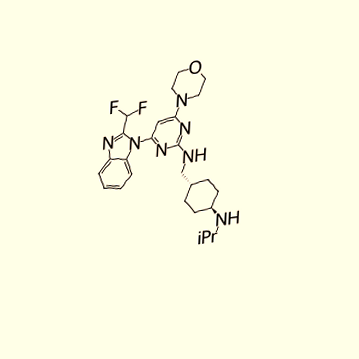 CC(C)N[C@H]1CC[C@H](CNc2nc(N3CCOCC3)cc(-n3c(C(F)F)nc4ccccc43)n2)CC1